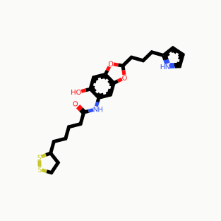 O=C(CCCCC1CCSS1)Nc1cc2c(cc1O)OC(CCCc1ccc[nH]1)O2